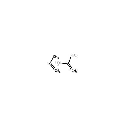 C=C(C)C.C=CC